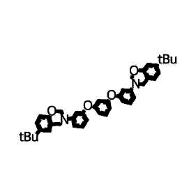 CC(C)(C)c1ccc2c(c1)CN(c1cccc(Oc3cccc(Oc4cccc(N5COc6cc(C(C)(C)C)ccc6C5)c4)c3)c1)CO2